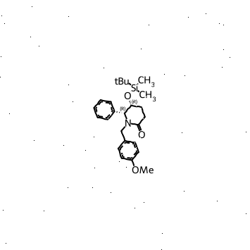 COc1ccc(CN2C(=O)CC[C@@H](O[Si](C)(C)C(C)(C)C)[C@H]2c2ccccc2)cc1